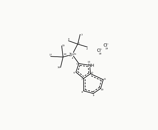 C[C](C)(C)[Zr+2]([c]1cc2ccccc2[nH]1)[C](C)(C)C.[Cl-].[Cl-]